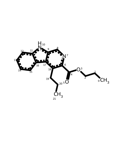 CCCOC(=O)c1ncc2[nH]c3ccccc3c2c1CCC